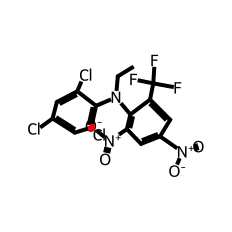 CCN(c1c(Cl)cc(Cl)cc1Cl)c1c([N+](=O)[O-])cc([N+](=O)[O-])cc1C(F)(F)F